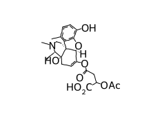 CC(=O)OC(CC(=O)OC1=CC[C@@]2(O)[C@@H](C)N(C)CC[C@@]23c2c(C)ccc(O)c2O[C@@H]13)C(=O)O